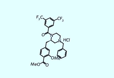 COC(=O)c1ccc(C[C@@H]2CN(Cc3ccccc3)CCN2C(=O)c2cc(C(F)(F)F)cc(C(F)(F)F)c2)cc1OC.Cl